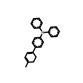 CC1=CC=C(c2ccc(N(c3ccccc3)c3ccccc3)cc2)CC1